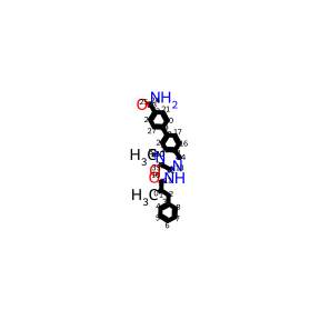 CC(Cc1ccccc1)C(=O)NC1N=Cc2ccc(-c3ccc(C(N)=O)cc3)cc2N(C)C1=O